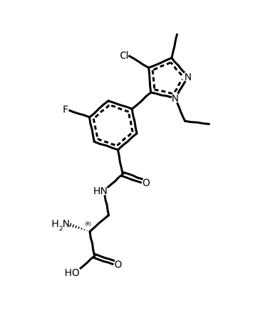 CCn1nc(C)c(Cl)c1-c1cc(F)cc(C(=O)NC[C@@H](N)C(=O)O)c1